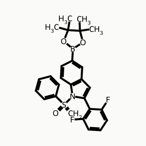 C=S(=O)(c1ccccc1)n1c(-c2c(F)cccc2F)cc2cc(B3OC(C)(C)C(C)(C)O3)ccc21